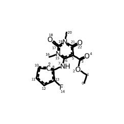 CCOC(=O)c1c(Nc2ccccc2F)n(C)c(=O)n(C)c1=O